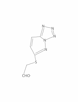 O=[C]CSc1ccc2nnnn2n1